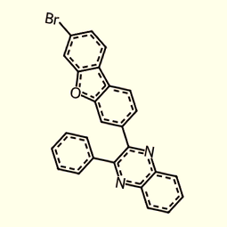 Brc1ccc2c(c1)oc1cc(-c3nc4ccccc4nc3-c3ccccc3)ccc12